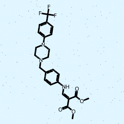 COC(=O)C(=CNc1ccc(CN2CCN(c3ccc(C(F)(F)F)cc3)CC2)cc1)C(=O)OC